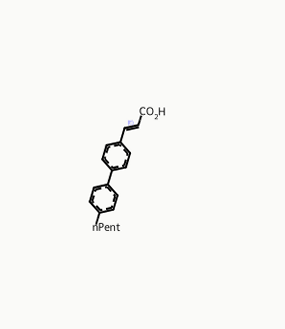 CCCCCc1ccc(-c2ccc(/C=C/C(=O)O)cc2)cc1